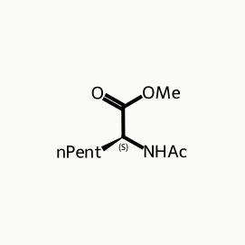 CCCCC[C@H](NC(C)=O)C(=O)OC